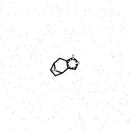 c1n[nH]c2c1C1CCC(C2)N1